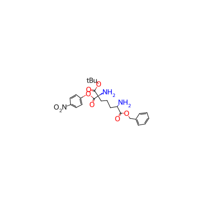 CC(C)(C)OC(=O)[C@](N)(CCCC(N)C(=O)OCc1ccccc1)C(=O)Oc1ccc([N+](=O)[O-])cc1